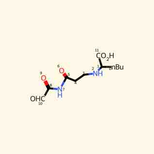 CCCCC(NCCC(=O)NC(=O)C=O)C(=O)O